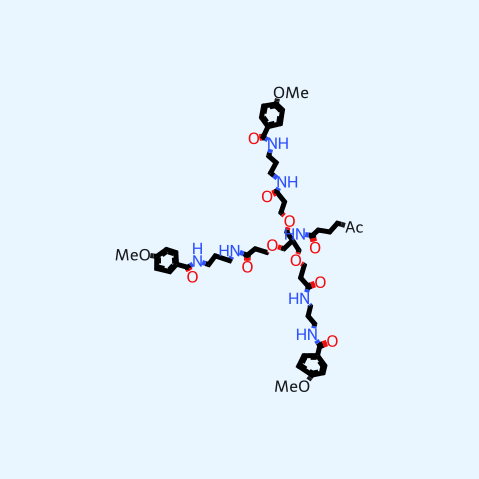 COc1ccc(C(=O)NCCCNC(=O)CCOCC(COCCC(=O)NCCCNC(=O)c2ccc(OC)cc2)(COCCC(=O)NCCCNC(=O)c2ccc(OC)cc2)NC(=O)CCCC(C)=O)cc1